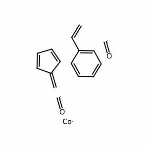 C=C1C=CC=C1.C=Cc1ccccc1.[C]=O.[C]=O.[Co]